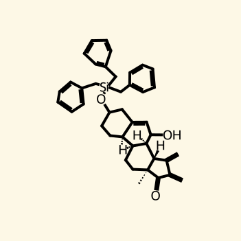 C=C1C(=C)[C@H]2[C@@H]3C(O)C=C4CC(O[Si](Cc5ccccc5)(Cc5ccccc5)Cc5ccccc5)CC[C@]4(C)[C@@H]3CC[C@]2(C)C1=O